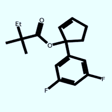 CCC(C)(C)C(=O)OC1(c2cc(F)cc(F)c2)C=CCC1